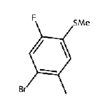 CSc1cc(C)c(Br)cc1F